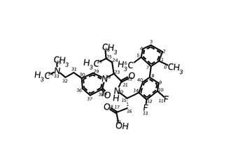 Cc1cccc(C)c1-c1cc(F)c(F)c([C@H](CC(=O)O)NC(=O)C(CC(C)C)n2cc(CCN(C)C)ccc2=O)c1